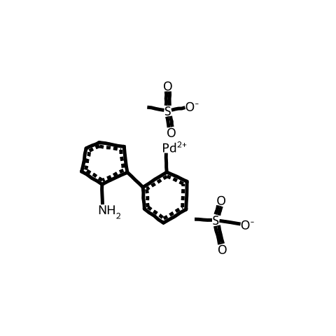 CS(=O)(=O)[O-].CS(=O)(=O)[O-].Nc1ccccc1-c1cccc[c]1[Pd+2]